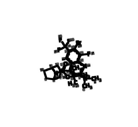 CN(C)c1nc(N2CC3CCC(C2)N3C(=O)OC(C)(C)C)c2cc(C(F)(F)F)c(Br)c(F)c2n1